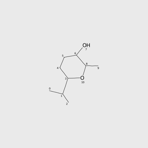 CC(C)C1CCC(O)C(C)O1